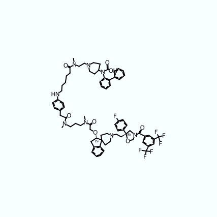 CN(CCN1CCC(N(C(=O)O)c2ccccc2-c2ccccc2)CC1)C(=O)CCCCCNc1ccc(CC(=O)N(C)CCCN(C)C(=O)CO[C@H]2Cc3ccccc3C23CCN(CC[C@@]2(c4ccc(F)cc4)CN(C(=O)c4cc(C(F)(F)F)cc(C(F)(F)F)c4)CO2)CC3)cc1